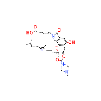 CC(C)=CC/C=C(\C)CCC[C@@]1(C)Oc2c(c(O)cc3c2CN(CCCCC(=O)O)C3=O)C[C@@H]1OC(=O)N1CCN(C)CC1